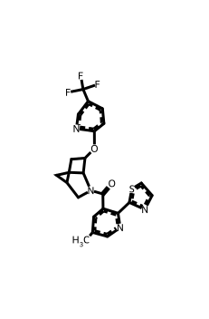 Cc1cnc(-c2nccs2)c(C(=O)N2CC3CC34CC(Oc3ccc(C(F)(F)F)cn3)C24)c1